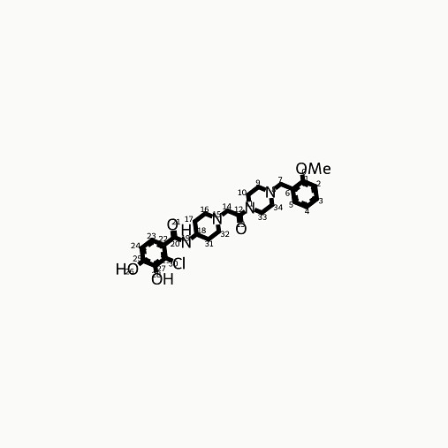 COc1ccccc1CN1CCN(C(=O)CN2CCC(NC(=O)c3ccc(O)c(O)c3Cl)CC2)CC1